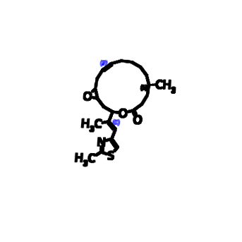 C/C(=C\c1csc(C)n1)C1CC2OC2C/C=C\CCCC[C@H](C)CCC(=O)O1